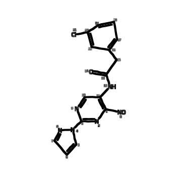 O=Nc1nc(-n2cccn2)ncc1NC(=O)Cc1cccc(Cl)c1